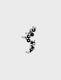 CCc1cnc2c(C(=O)Nc3cn([C@H]4CC[C@H](CN(C)C5CCN(c6cccc7c6n(C)c(=O)n7C6CCC(=O)NC6=O)CC5)CC4)nc3C(F)F)cnn2c1